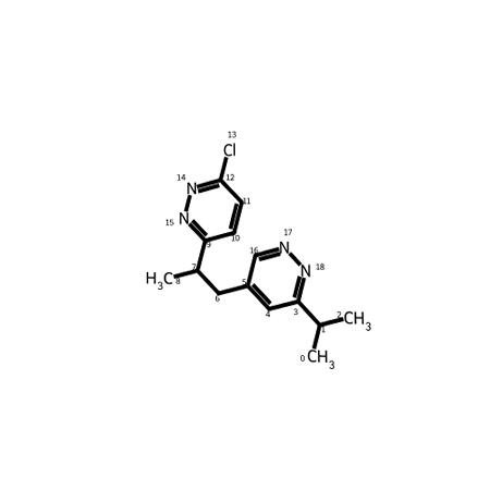 CC(C)c1cc(CC(C)c2ccc(Cl)nn2)cnn1